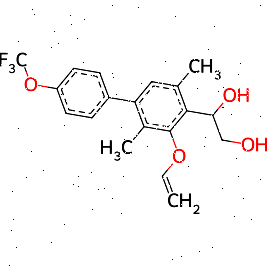 C=COc1c(C)c(-c2ccc(OC(F)(F)F)cc2)cc(C)c1C(O)CO